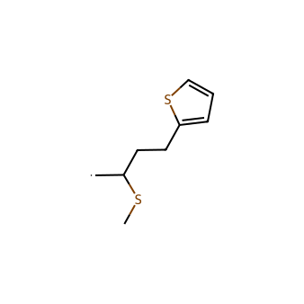 [CH2]C(CCc1cccs1)SC